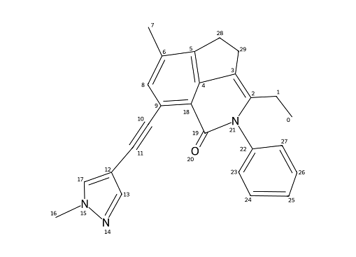 CCc1c2c3c(c(C)cc(C#Cc4cnn(C)c4)c3c(=O)n1-c1ccccc1)CC2